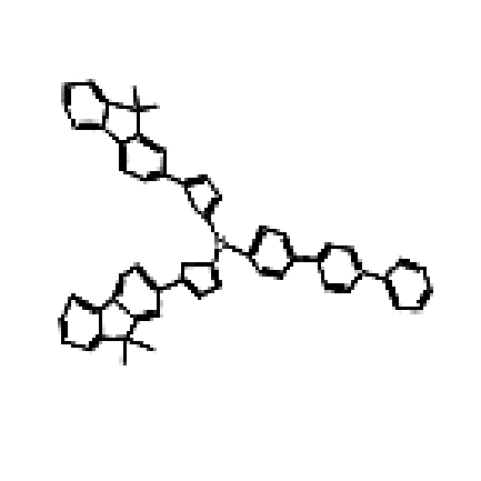 CC1(C)c2ccccc2-c2ccc(C3=CC=C(N(C4=CC=C(c5ccc6c(c5)C(C)(C)c5ccccc5-6)C4)c4ccc(-c5ccc(-c6ccccc6)cc5)cc4)C3)cc21